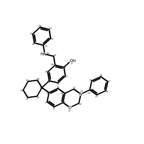 Oc1ccc(C2(c3ccc4c(c3)CN(c3ccccc3)CO4)CCCCC2)cc1CNc1ccccc1